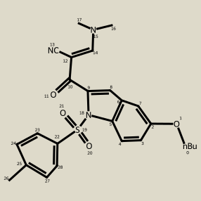 CCCCOc1ccc2c(c1)cc(C(=O)C(C#N)=CN(C)C)n2S(=O)(=O)c1ccc(C)cc1